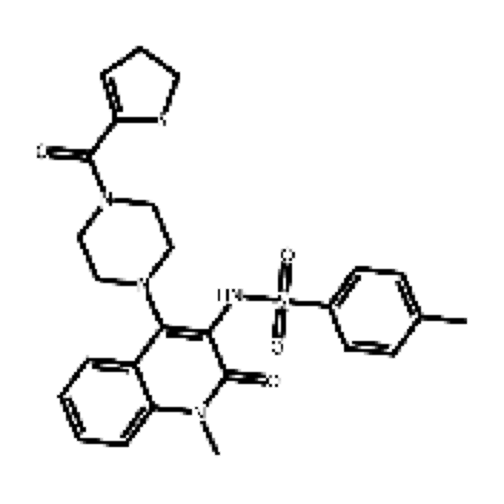 Cc1ccc(S(=O)(=O)Nc2c(N3CCN(C(=O)C4=CCCS4)CC3)c3ccccc3n(C)c2=O)cc1